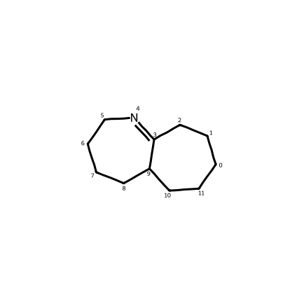 C1CCC2=NCCCCC2CC1